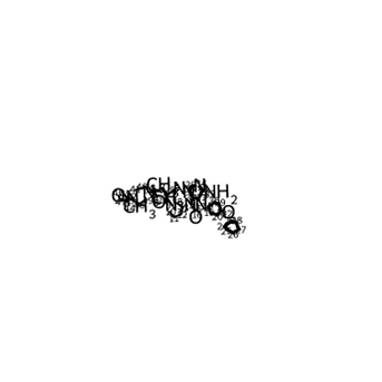 CC(C)(/C=C(/C#N)C(=O)N1CCC[C@@H](n2c(=O)n(-c3ccc(Oc4ccccc4)cc3)c3c(N)ncnc32)C1)N1CCN(C2(C)COC2)CC1